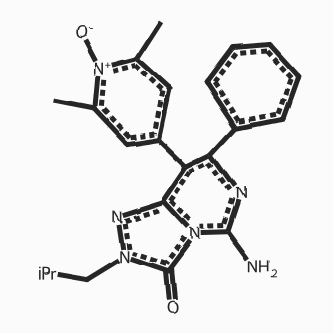 Cc1cc(-c2c(-c3ccccc3)nc(N)n3c(=O)n(CC(C)C)nc23)cc(C)[n+]1[O-]